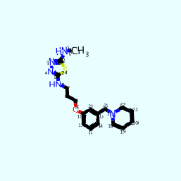 CNc1nnc(NCCCOc2cccc(CN3CCCCC3)c2)s1